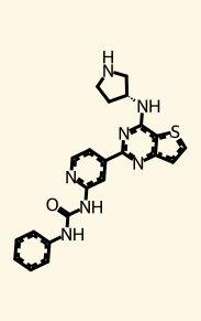 O=C(Nc1ccccc1)Nc1cc(-c2nc(N[C@@H]3CCNC3)c3sccc3n2)ccn1